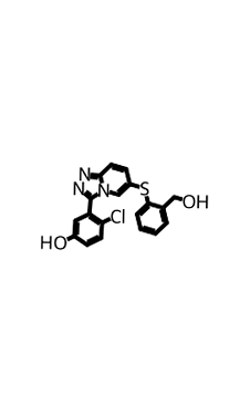 OCc1ccccc1Sc1ccc2nnc(-c3cc(O)ccc3Cl)n2c1